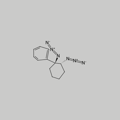 [N-]=[N+]=N[C@@H]1CCCC[C@]1(N=[N+]=[N-])c1ccccc1